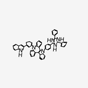 C1#CC2C3=C(c4ccccc4N(C4=CCCC(C5=CC6C=CC=CC6NC5)=C4)c4ccccc43)N(c3ccc(C4NC(c5ccccc5)NC(c5ccccc5)N4)cc3)C2C=C1